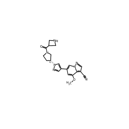 COc1cc(-c2cnn([C@@H]3CCN(C(=O)C4CNC4)C3)c2)cn2ncc(C#N)c12